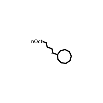 CCCCCCCCCCC[CH]C1CCCCCCCC1